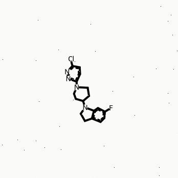 Fc1ccc2c(c1)N(C1CCN(c3ccc(Cl)nn3)CC1)CC2